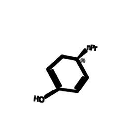 CCC[C@H]1C=CC(O)=CC1